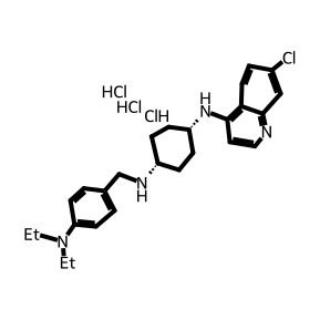 CCN(CC)c1ccc(CN[C@H]2CC[C@@H](Nc3ccnc4cc(Cl)ccc34)CC2)cc1.Cl.Cl.Cl